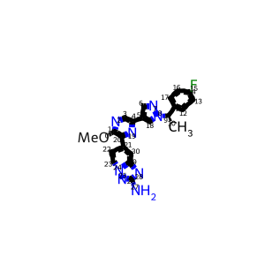 COc1ncc(-c2cnn([C@H](C)c3ccc(F)cc3)c2)nc1-c1ccn2nc(N)nc2c1